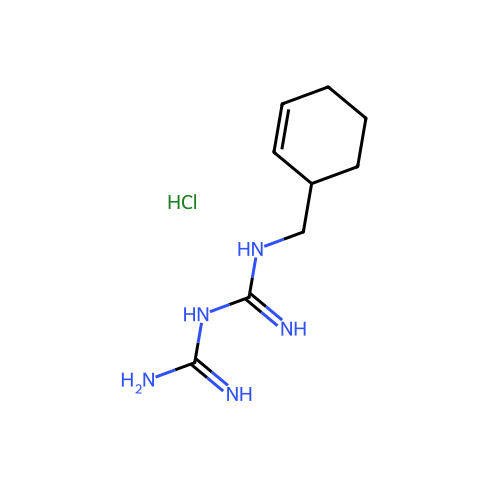 Cl.N=C(N)NC(=N)NCC1C=CCCC1